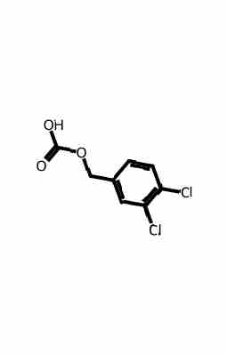 O=C(O)OCc1ccc(Cl)c(Cl)c1